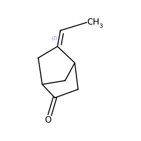 C/C=C1/CC2CC1CC2=O